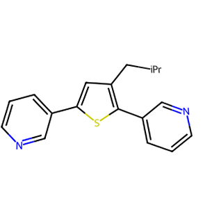 CC(C)Cc1cc(-c2cccnc2)sc1-c1cccnc1